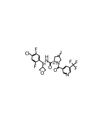 O=C(N[C@@H](c1cc(F)c(Cl)cc1F)C1COC1)[C@H]1C[C@@H](I)CN1C(=O)c1cncc(C(F)(F)F)c1